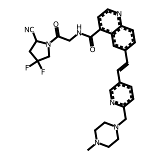 CN1CCN(Cc2ccc(C=Cc3ccc4nccc(C(=O)NCC(=O)N5CC(F)(F)CC5C#N)c4c3)cn2)CC1